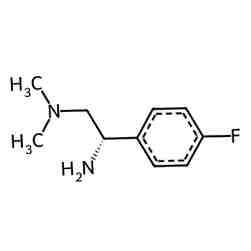 CN(C)C[C@@H](N)c1ccc(F)cc1